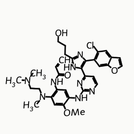 C=CC(=O)Nc1cc(Nc2nccc(-c3[nH]c(CCCO)nc3-c3cc4occc4cc3Cl)n2)c(OC)cc1N(C)CCN(C)C